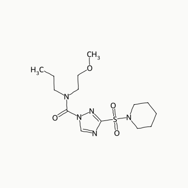 CCCN(CCOC)C(=O)n1cnc(S(=O)(=O)N2CCCCC2)n1